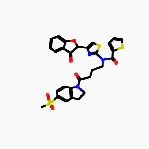 CS(=O)(=O)c1ccc2c(c1)CCN2C(=O)CCCN(C(=O)c1cccs1)c1nc(C2Oc3ccccc3C2=O)cs1